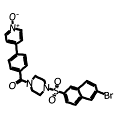 O=C(c1ccc(-c2cc[n+]([O-])cc2)cc1)N1CCN(S(=O)(=O)c2ccc3cc(Br)ccc3c2)CC1